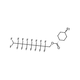 CC[C@H]1CC[C@H](C(=O)OCC(F)(F)C(F)(F)C(F)(F)C(F)(F)C(F)(F)C(F)(F)C(F)(F)C(F)F)CC1